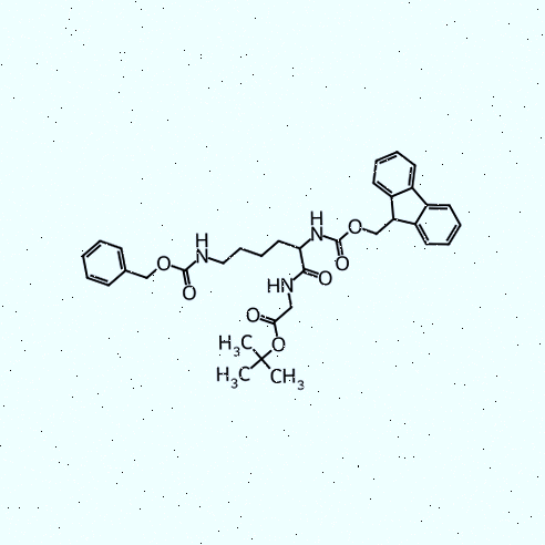 CC(C)(C)OC(=O)CNC(=O)C(CCCCNC(=O)OCc1ccccc1)NC(=O)OCC1c2ccccc2-c2ccccc21